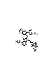 C=C/C(=N\NC)c1cc2c(cc1Sc1nc3c(N)ncnc3n1CCCS(=O)(=O)NCC(C)C)OCO2